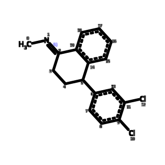 C/N=C1\CCC(c2ccc(Cl)c(Cl)c2)c2ccccc21